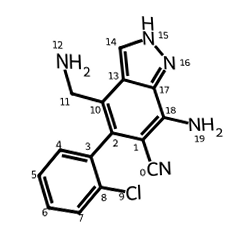 N#Cc1c(-c2ccccc2Cl)c(CN)c2c[nH]nc2c1N